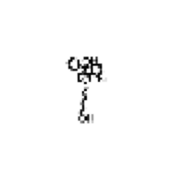 OCCCCCC[N+]12CCC(C(O)(c3ccccc3)c3ccccc3)(CC1)C2.[Br-]